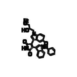 CCOCC(O)Cn1cc(C2=C(c3c[nH]c4ccccc34)C(=O)NC2=O)c2cc(OCc3ccccc3)ccc21